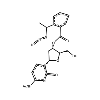 CC(=O)Nc1ccn([C@H]2C[C@@H](OC(=O)c3ccccc3C(C)N=[N+]=[N-])[C@@H](CO)O2)c(=O)n1